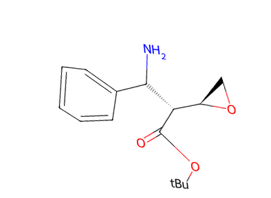 CC(C)(C)OC(=O)[C@H](C(N)c1ccccc1)[C@H]1CO1